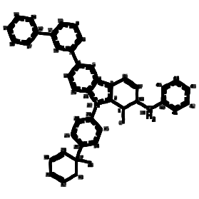 CC1c2c(c3cc(-c4cccc(-c5ccccc5)c4)ccc3n2-c2ccc(C3(C)C=CC=CC3)cc2)C=CC1[SiH2]c1ccccc1